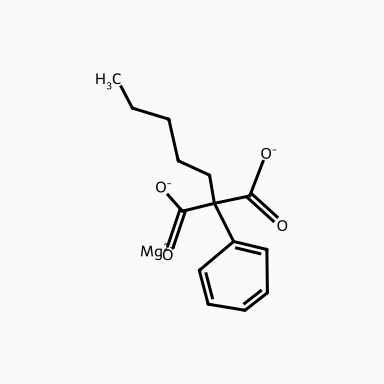 CCCCCC(C(=O)[O-])(C(=O)[O-])c1ccccc1.[Mg+2]